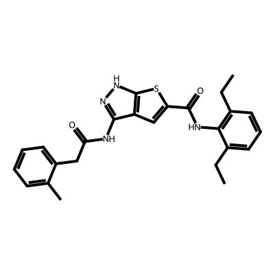 CCc1cccc(CC)c1NC(=O)c1cc2c(NC(=O)Cc3ccccc3C)n[nH]c2s1